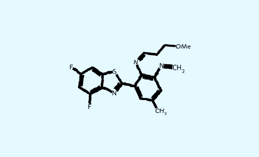 C=Nc1cc(C)cc(-c2nc3c(F)cc(F)cc3s2)c1/N=C\CCOC